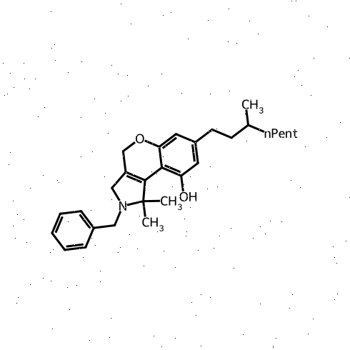 CCCCCC(C)CCc1cc(O)c2c(c1)OCC1=C2C(C)(C)N(Cc2ccccc2)C1